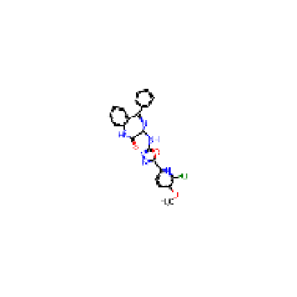 COc1ccc(-c2nnc(NC3N=C(c4ccccc4)c4ccccc4NC3=O)o2)nc1Cl